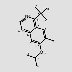 Cc1cc2c(C(C)(C)C)ncnc2cc1OC(C)C